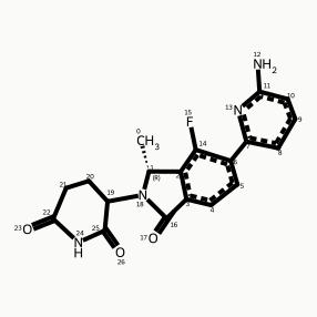 C[C@@H]1c2c(ccc(-c3cccc(N)n3)c2F)C(=O)N1C1CCC(=O)NC1=O